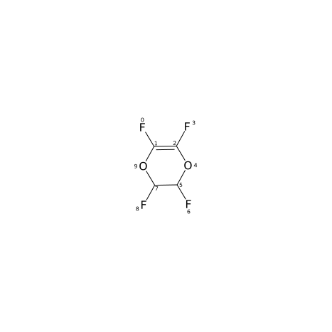 FC1=C(F)OC(F)C(F)O1